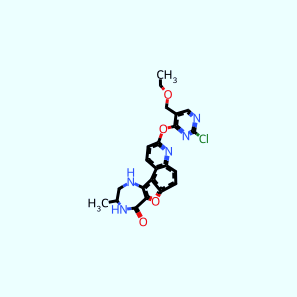 CCOCc1cnc(Cl)nc1Oc1ccc2c(ccc3oc4c(c32)NCC(C)NC4=O)n1